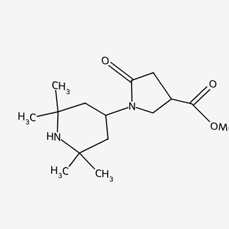 COC(=O)C1CC(=O)N(C2CC(C)(C)NC(C)(C)C2)C1